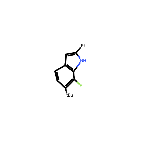 CCc1cc2ccc(C(C)(C)C)c(F)c2[nH]1